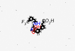 CN(CC(O)CNC(C)(C)Cc1cccc(C(F)(F)F)c1)S(=O)(=O)c1cccc(-c2cccc(CCC(=O)O)c2)c1